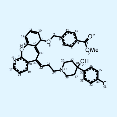 COC(=O)c1ccc(COC2C=CC=C3Oc4ncccc4C(=CCCN4CCC(O)(c5ccc(Cl)cc5)CC4)C=C32)cc1